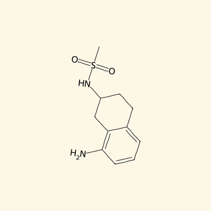 CS(=O)(=O)NC1CCc2cccc(N)c2C1